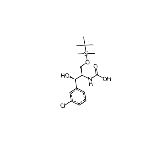 CC(C)(C)[Si](C)(C)OC[C@@H](NC(=O)O)[C@H](O)c1cccc(Cl)c1